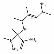 C=C(N)C(C)(NC(C)/C(C)=C/C(C)N)N(C)N